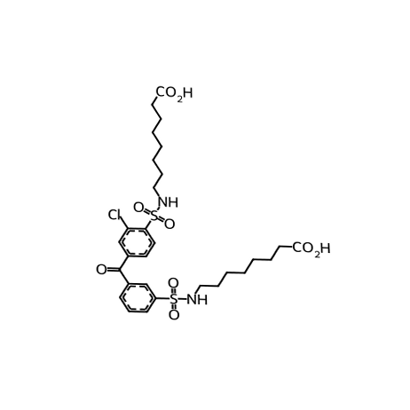 O=C(O)CCCCCCCNS(=O)(=O)c1cccc(C(=O)c2ccc(S(=O)(=O)NCCCCCCCC(=O)O)c(Cl)c2)c1